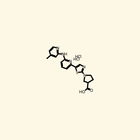 Cc1ccnc(Nc2cccc(-c3cnc(N4CCC(C(=O)O)C4)s3)n2)c1.Cl.Cl